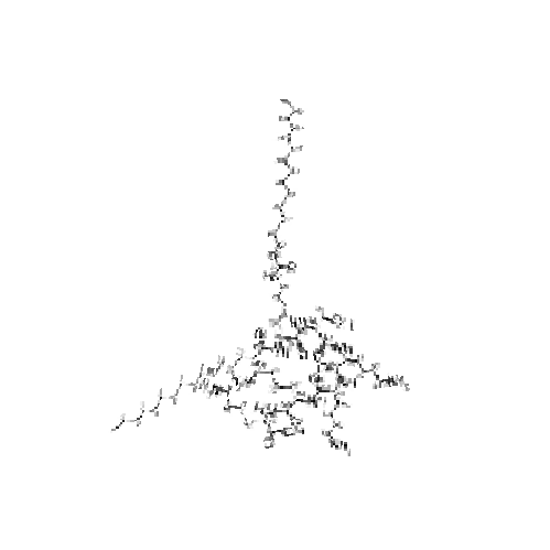 CCCCCCCCCCCCCCCC(=O)N[C@H](CSCCNC(=O)OCCCCCCCCCCCCCC)C(=O)N[C@H](CO)C(=O)N[C@@H](CCCCN)C(=O)N[C@@H](CCCCN)C(=O)N[C@@H](CCCCN)C(=O)N[C@@H](CCCCN)C(=O)O